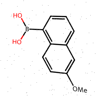 COc1ccc2c(B(O)O)cccc2c1